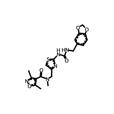 Cc1noc(C)c1C(=O)N(C)Cc1csc(NC(=O)NCc2ccc3c(c2)OCO3)n1